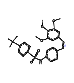 COc1cc(/C=C\c2ccc(NS(=O)(=O)c3ccc(C(C)(C)C)cc3)cc2)cc(OC)c1OC